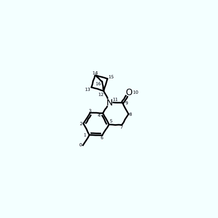 Cc1ccc2c(c1)CCC(=O)N2C12CC(C1)C2